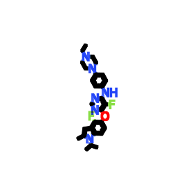 CCN1CCN(c2ccc(Nc3ncnc(Oc4ccc5c(cc(C)n5C(C)C)c4F)c3F)cc2)CC1